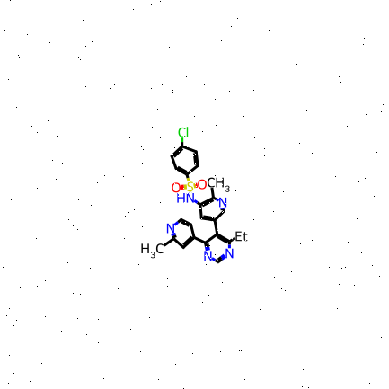 CCc1ncnc(-c2ccnc(C)c2)c1-c1cnc(C)c(NS(=O)(=O)c2ccc(Cl)cc2)c1